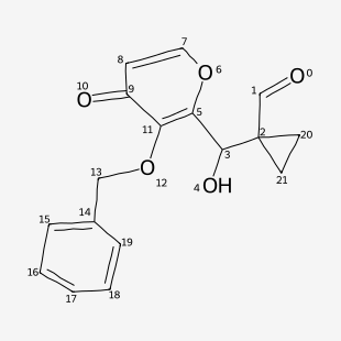 O=CC1(C(O)c2occc(=O)c2OCc2ccccc2)CC1